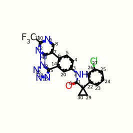 O=C(Nc1ccc(-c2cnc(C(F)(F)F)nc2)c(-c2nnn[nH]2)c1)C1(c2cccc(Cl)c2)CC1